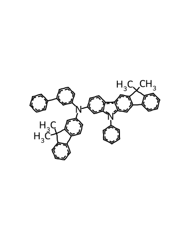 CC1(C)c2ccccc2-c2ccc(N(c3cccc(-c4ccccc4)c3)c3ccc4c5cc6c(cc5n(-c5ccccc5)c4c3)-c3ccccc3C6(C)C)cc21